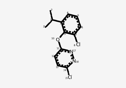 CC(C)c1cccc(Cl)c1Oc1ccc(Cl)nn1